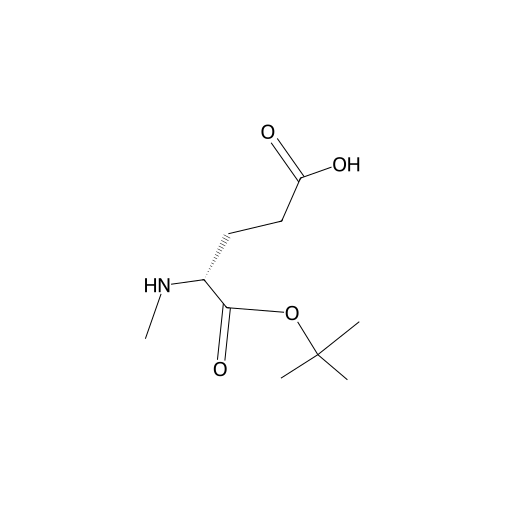 CN[C@H](CCC(=O)O)C(=O)OC(C)(C)C